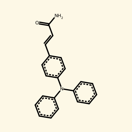 NC(=O)C=Cc1ccc(N(c2ccccc2)c2ccccc2)cc1